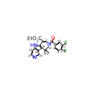 CCOC(=O)C1=CN(C(=O)c2ccc(F)c(F)c2)CC(C)(C)c2c1[nH]c1ccncc21